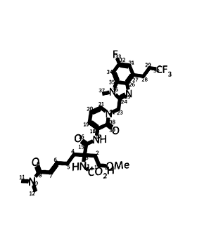 COCCC(CCC=CC(=O)N(C)C)(NC(=O)O)C(=O)Nc1cccn(Cc2nc3c(CCC(F)(F)F)cc(F)cc3n2C)c1=O